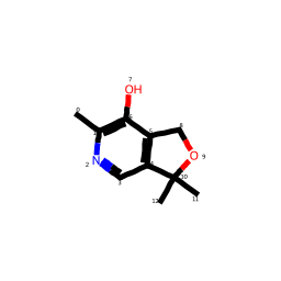 Cc1ncc2c(c1O)COC2(C)C